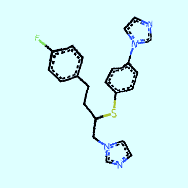 Fc1ccc(CCC(Cn2ccnc2)Sc2ccc(-n3ccnc3)cc2)cc1